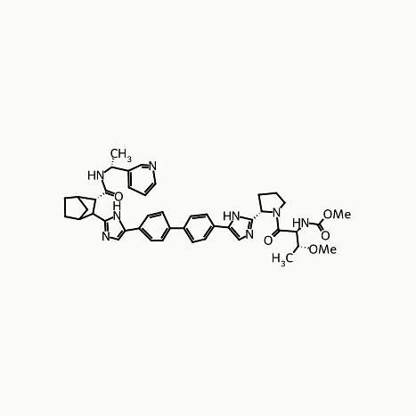 COC(=O)N[C@H](C(=O)N1CCC[C@H]1c1ncc(-c2ccc(-c3ccc(-c4cnc(C5C6CCC(C6)[C@@H]5C(=O)N[C@H](C)c5cccnc5)[nH]4)cc3)cc2)[nH]1)[C@@H](C)OC